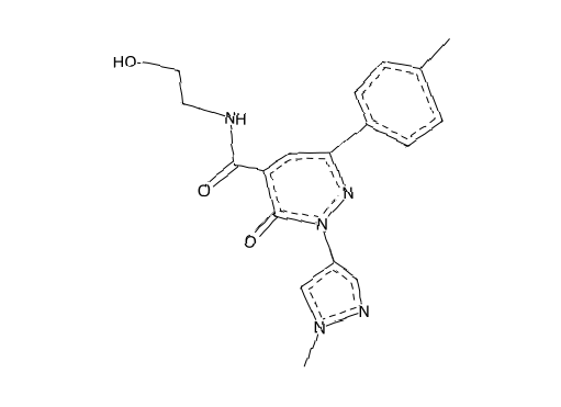 Cc1ccc(-c2cc(C(=O)NCCO)c(=O)n(-c3cnn(C)c3)n2)cc1